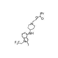 CC(C)C(=O)OCCN1CCC(Nc2cccc3c2cc(I)n3CC(F)(F)F)CC1